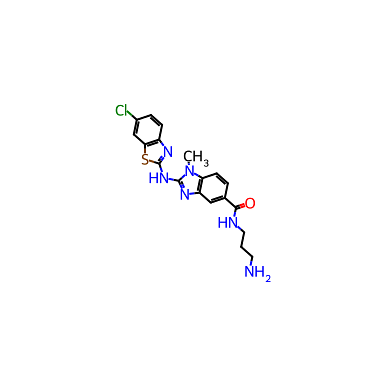 Cn1c(Nc2nc3ccc(Cl)cc3s2)nc2cc(C(=O)NCCCN)ccc21